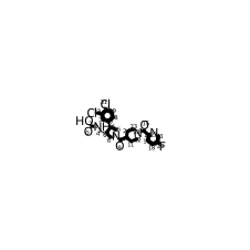 O=C(O)NC[C@H]1CN(C(=O)C2CCN(C(=O)c3ccc(F)cn3)CC2)C[C@H]1c1ccc(Cl)c(Cl)c1